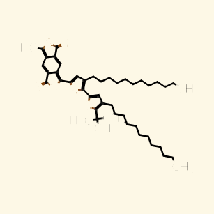 CCCCCCCCCCCCc1cc(C2=c3cc4c(cc3C(=S)S2)=C(C)SC4=S)sc1-c1cc(CCCCCCCCCCCC)c(C(C)(C)C)s1